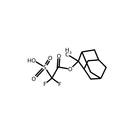 CC1(OC(=O)C(F)(F)S(=O)(=O)O)C2CC3CC(C2)CC1C3